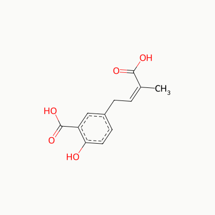 CC(=CCc1ccc(O)c(C(=O)O)c1)C(=O)O